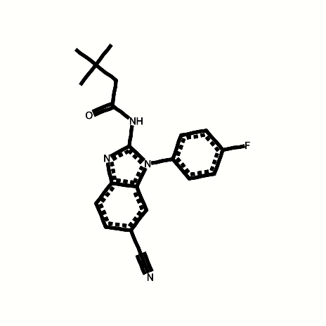 CC(C)(C)CC(=O)Nc1nc2ccc(C#N)cc2n1-c1ccc(F)cc1